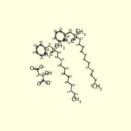 CCCCCCCCCCCC[N+](C)(C)Cc1ccccc1.CCCCCCCCCCCC[N+](C)(C)Cc1ccccc1.O=C([O-])CC(O)C(=O)[O-]